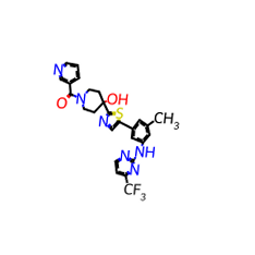 Cc1cc(Nc2nccc(C(F)(F)F)n2)cc(-c2cnc(C3(O)CCN(C(=O)c4cccnc4)CC3)s2)c1